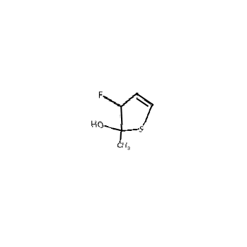 CC1(O)SC=CC1F